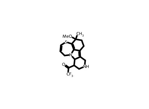 COC1(C)CCC2=C3CNCC(C(=O)C(F)(F)F)C3N3CC=CSC1=C23